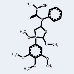 COc1cc(S2(OC)CC(N(C(=O)N(C)O)c3ccccc3)SC2OC)cc(OC)c1OC